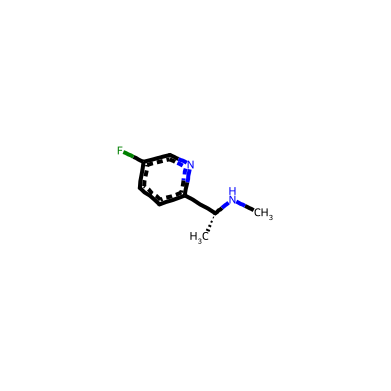 CN[C@H](C)c1ccc(F)cn1